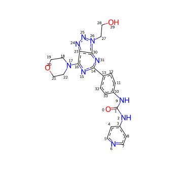 O=C(Nc1ccncc1)Nc1ccc(-c2nc(N3CCOCC3)c3nnn(CCO)c3n2)cc1